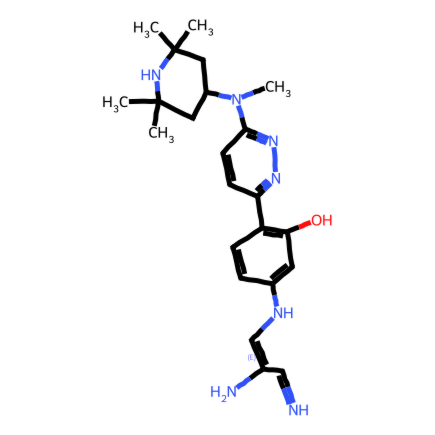 CN(c1ccc(-c2ccc(N/C=C(/N)C=N)cc2O)nn1)C1CC(C)(C)NC(C)(C)C1